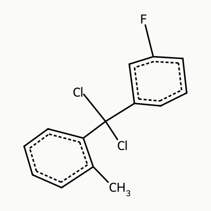 Cc1ccccc1C(Cl)(Cl)c1cccc(F)c1